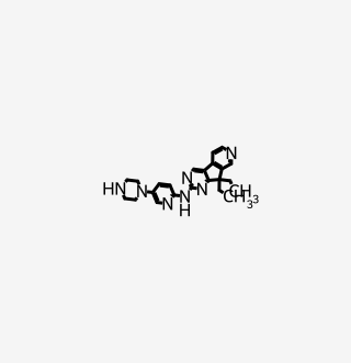 CCC1(CC)c2cnccc2-c2cnc(Nc3ccc(N4CCNCC4)cn3)nc21